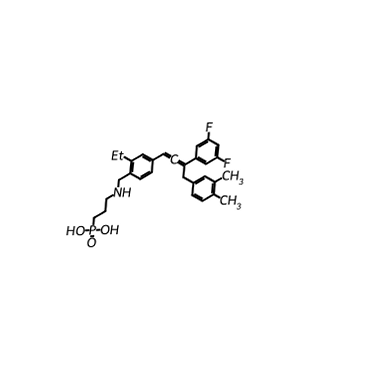 CCc1cc(C=C=C(Cc2ccc(C)c(C)c2)c2cc(F)cc(F)c2)ccc1CNCCCP(=O)(O)O